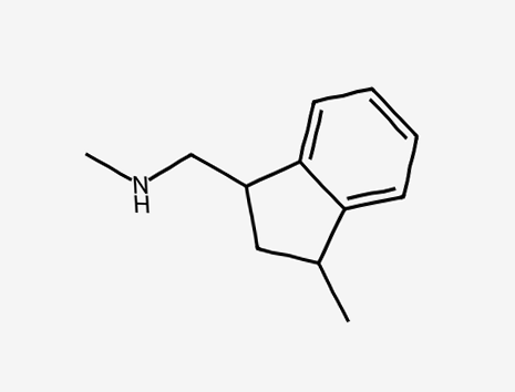 CNCC1CC(C)c2ccccc21